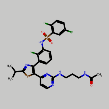 CC(=O)NCCCNc1nccc(-c2sc(C(C)C)nc2-c2cccc(NS(=O)(=O)c3cc(F)ccc3F)c2F)n1